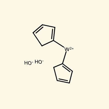 C1=CC[C]([W+2][C]2=CC=CC2)=C1.[OH-].[OH-]